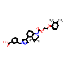 Cc1cccc(OCCOC(=O)N2C[C@H]3C[C@H]3c3c(-c4cnn(Cc5cccc(C(=O)O)c5)c4)cccc32)c1C